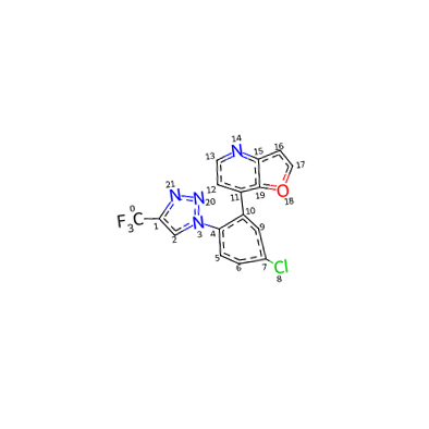 FC(F)(F)c1cn(-c2ccc(Cl)cc2-c2ccnc3ccoc23)nn1